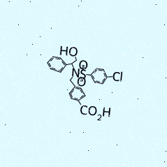 O=C(O)c1ccc(CN(C(CO)c2ccccc2)S(=O)(=O)c2ccc(Cl)cc2)cc1